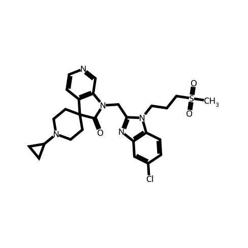 CS(=O)(=O)CCCn1c(CN2C(=O)C3(CCN(C4CC4)CC3)c3ccncc32)nc2cc(Cl)ccc21